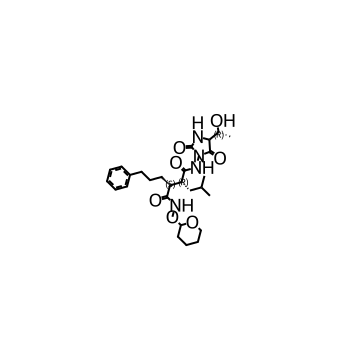 CC(C)C[C@@H](C(=O)NN1C(=O)NC([C@@H](C)O)C1=O)[C@H](CCCc1ccccc1)C(=O)NOC1CCCCO1